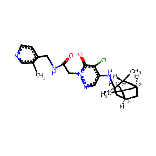 Cc1cnccc1CNC(=O)Cn1ncc(N[C@@H]2C[C@@H]3C[C@H]([C@H]2C)C3(C)C)c(Cl)c1=O